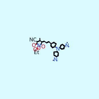 CCOON1C(=O)C(C#N)=C(C)/C(=C/C=C/c2ccc(N(c3ccc(N(C)C)cc3)c3ccc(N(C)C)cc3)cc2)C1=O